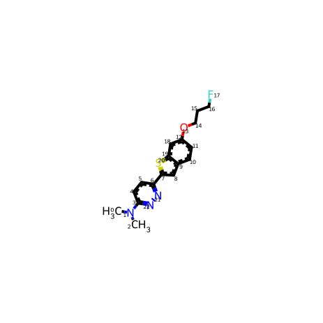 CN(C)c1ccc(-c2cc3ccc(OCCCF)cc3s2)nn1